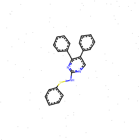 c1ccc(SNc2ncc(-c3ccccc3)c(-c3ccccc3)n2)cc1